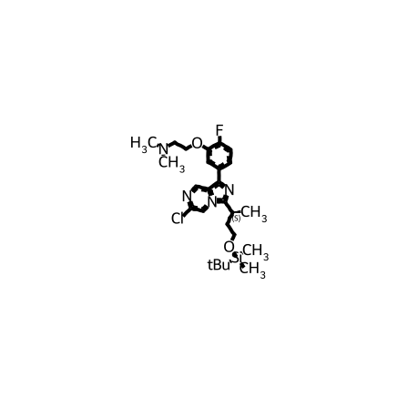 C[C@@H](CCO[Si](C)(C)C(C)(C)C)c1nc(-c2ccc(F)c(OCCN(C)C)c2)c2cnc(Cl)cn12